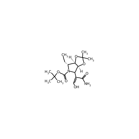 CC[C@@H]1[C@H]2OC(C)(C)O[C@H]2C(/C(=C/O)C(N)=O)N1C(=O)OC(C)(C)C